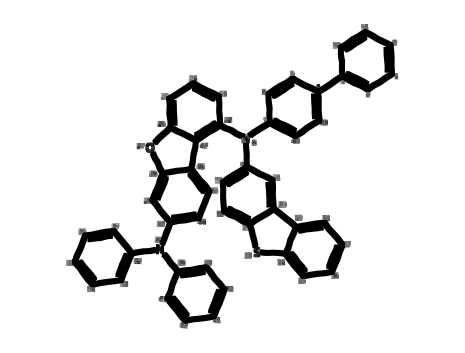 c1ccc(-c2ccc(N(c3ccc4sc5ccccc5c4c3)c3cccc4oc5cc(N(c6ccccc6)c6ccccc6)ccc5c34)cc2)cc1